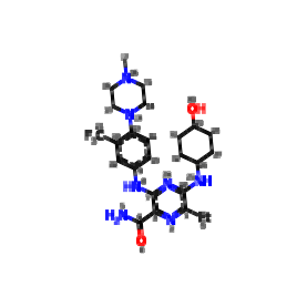 CCc1nc(C(N)=O)c(Nc2ccc(N3CCN(C)CC3)c(C(F)(F)F)c2)nc1NC1CCC(O)CC1